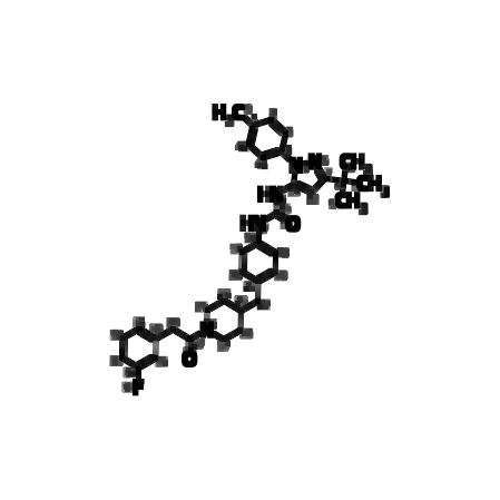 Cc1ccc(-n2nc(C(C)(C)C)cc2NC(=O)Nc2ccc(CC3CCN(C(=O)Cc4cccc(F)c4)CC3)cc2)cc1